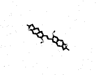 CSc1cc2cc3sc(C)cc3cc2cc1C=Cc1cc2cc3cc(C)sc3cc2cc1SC